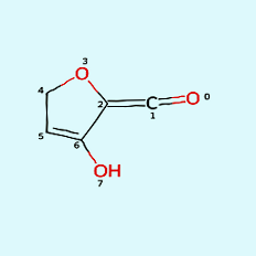 O=C=C1OCC=C1O